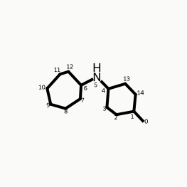 CC1CCC(NC2CCCCCC2)CC1